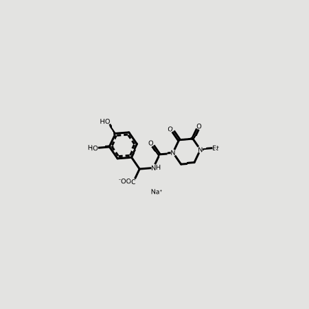 CCN1CCN(C(=O)NC(C(=O)[O-])c2ccc(O)c(O)c2)C(=O)C1=O.[Na+]